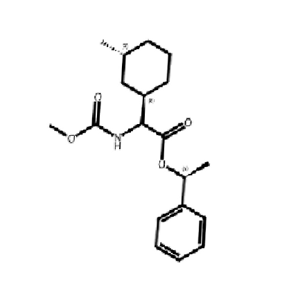 COC(=O)NC(C(=O)O[C@@H](C)c1ccccc1)[C@@H]1CCC[C@@H](C)C1